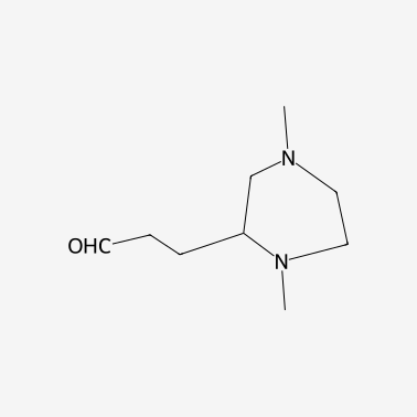 CN1CCN(C)C(CCC=O)C1